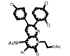 CC(=O)Nc1c(C(C)=O)c(=O)n(CCOC(C)=O)c2nc(-c3ccc(Cl)cc3Cl)c(-c3ccc(Cl)cc3)cc12